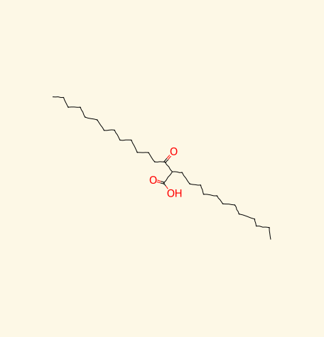 CCCCCCCCCCCCCC(=O)C(CCCCCCCCCCCC)C(=O)O